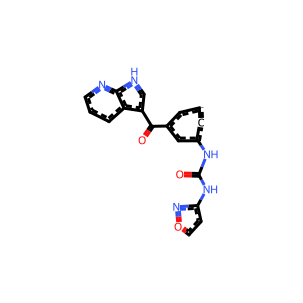 O=C(Nc1cccc(C(=O)c2c[nH]c3ncccc23)c1)Nc1ccon1